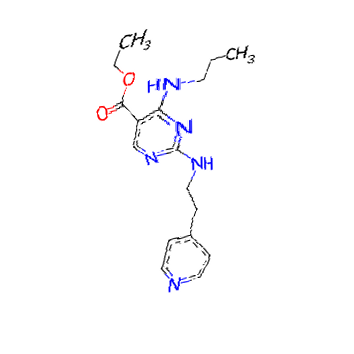 CCCNc1nc(NCCc2ccncc2)ncc1C(=O)OCC